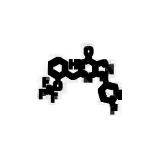 O=c1[nH]c(Cc2ccccc2OC(F)(F)F)nc2c1cnn2-c1ccc(F)nc1